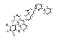 [2H]c1c([2H])c([2H])c(-c2c3ccccc3c(-c3ccc4cc(-c5cc(-c6cccnc6)ccn5)ccc4c3)c3ccccc23)c([2H])c1[2H]